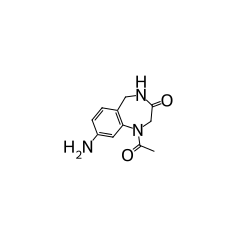 CC(=O)N1CC(=O)NCc2ccc(N)cc21